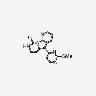 CSc1nccc(-c2c3cccnc3n3c(=O)[nH]ccc23)n1